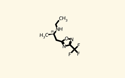 CCN[C@H](C)Cc1nc(C(F)(F)F)no1